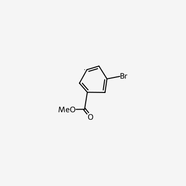 COC(=O)c1c[c]cc(Br)c1